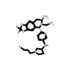 C[C@@H]1Cc2cc3c(cc2[C@@H](c2ccc(NC4CCN(CCCF)C4)cn2)N1CC(F)(F)F)OC(F)(F)O3